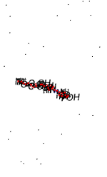 [N-]=[N+]=NCCOc1ccc(C(=O)Oc2ccc(CSP(=O)(O)OC[C@@H]3CC[C@H](n4cnc5c(NC/C=C/CNc6ncnc7c6ncn7[C@@H]6O[C@H](CO)C[C@H]6F)ncnc54)O3)cc2)cc1